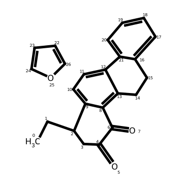 CCC1CC(=O)C(=O)c2c1ccc1c2CCc2ccccc2-1.c1ccoc1